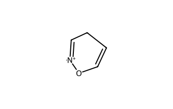 C1=CO[N+]=CC1